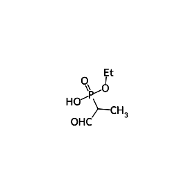 CCOP(=O)(O)C(C)C=O